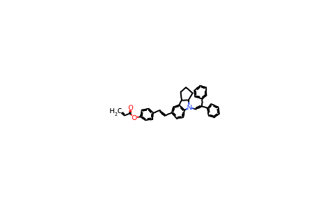 C=CC(=O)Oc1ccc(C=Cc2ccc3c(c2)C2CCCC2N3C=C(c2ccccc2)c2ccccc2)cc1